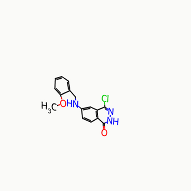 COc1ccccc1CNc1ccc2c(=O)[nH]nc(Cl)c2c1